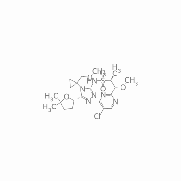 COCC1(n2c(NS(=O)(=O)[C@@H](C)[C@H](OC)c3ncc(Cl)cn3)nnc2[C@@H]2CCC(C)(C)O2)CC1